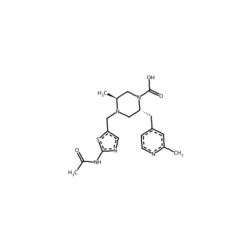 CC(=O)Nc1ncc(CN2C[C@@H](Cc3ccnc(C)c3)N(C(=O)O)C[C@@H]2C)s1